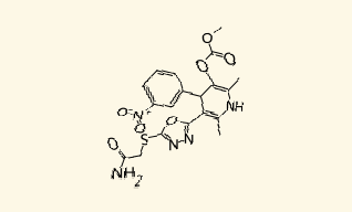 COC(=O)OC1=C(C)NC(C)=C(c2nnc(SCC(N)=O)o2)C1c1cccc([N+](=O)[O-])c1